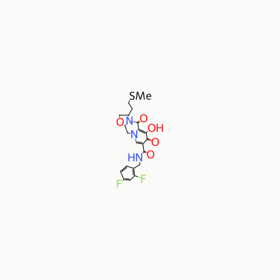 CSCCC1COC2Cn3cc(C(=O)NCc4ccc(F)cc4F)c(=O)c(O)c3C(=O)N12